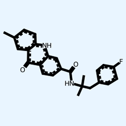 Cc1ccc2[nH]c3cc(C(=O)NC(C)(C)Cc4ccc(F)cc4)ccc3c(=O)c2c1